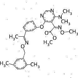 CON=C(C(=O)OC)c1c(Oc2cccc(C(C)=NOCc3cc(C)ccc3C)c2)ncnc1N(C)C